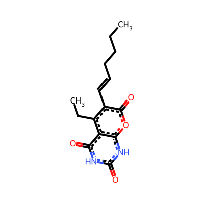 CCCC/C=C/c1c(CC)c2c(=O)[nH]c(=O)[nH]c2oc1=O